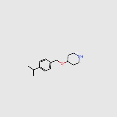 CC(C)c1ccc(COC2CCNCC2)cc1